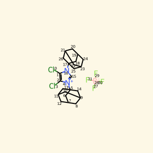 Clc1c(Cl)[n+](C23CC4CC(CC(C4)C2)C3)cn1C12CC3CC(CC(C3)C1)C2.F[B-](F)(F)F